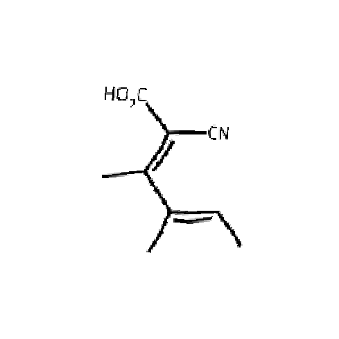 CC=C(C)C(C)=C(C#N)C(=O)O